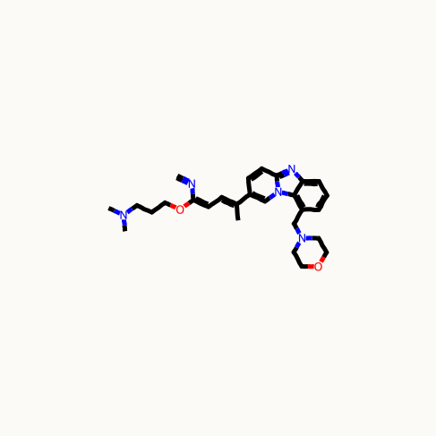 C=N/C(=C\C=C(/C)c1ccc2nc3cccc(CN4CCOCC4)c3n2c1)OCCCN(C)C